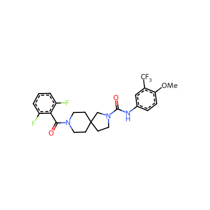 COc1ccc(NC(=O)N2CCC3(CCN(C(=O)c4c(F)cccc4F)CC3)C2)cc1C(F)(F)F